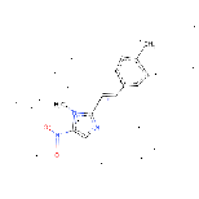 Cc1ccc(/C=C/c2ncc([N+](=O)[O-])n2C)cc1